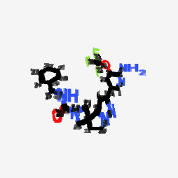 Nc1ncc(-c2cc3n(n2)CCC32CN(C(=O)NCc3ccccc3)C2)cc1OC(F)(F)F